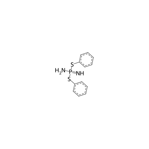 N=P(N)(Sc1ccccc1)Sc1ccccc1